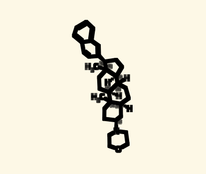 C[C@]12CC[C@H](N3CCOCC3)C[C@@H]1CC[C@@H]1[C@@H]2CC[C@]2(C)[C@@H](c3ccc4ccccc4c3)CC[C@@H]12